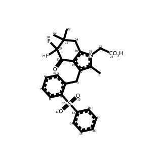 Cc1c(Cc2ccccc2S(=O)(=O)c2ccccc2)c2c(n1CC(=O)O)CC(C)(C)C(F)(F)C2=O